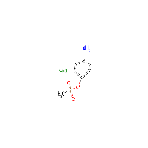 CS(=O)(=O)Oc1ccc(N)cc1.Cl